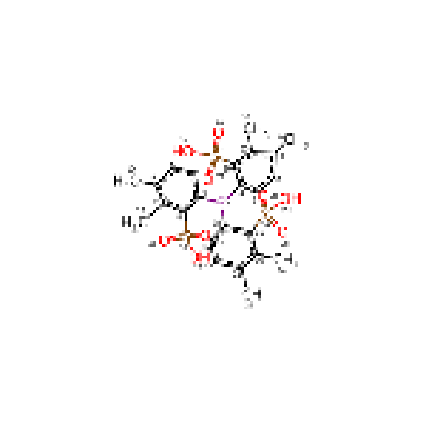 Cc1ccc(P(c2ccc(C)c(C)c2S(=O)(=O)O)c2ccc(C)c(C)c2S(=O)(=O)O)c(S(=O)(=O)O)c1C